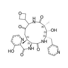 C[C@H]1CC(=O)C(C2COC2)NC(=O)[C@H](C)[C@H](O)[C@H](Cc2cccnc2)NC(=O)[C@H]1NC(=O)c1ncccc1O